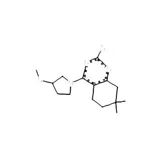 CNC1CCN(c2nc(N)nc3c2CCC(C)(C)C3)C1